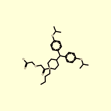 CCCC[N+]1(C(=O)COCC(=O)[O-])CCC(C(c2ccc(OC(C)C)cc2)c2ccc(OC(C)C)cc2)CC1